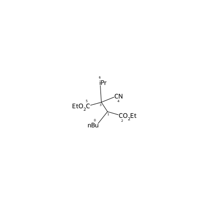 CCCCC(C(=O)OCC)C(C#N)(C(=O)OCC)C(C)C